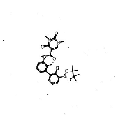 Cn1cc(C(=O)Nc2cccc(-c3cccc(B4OC(C)(C)C(C)(C)O4)c3Cl)c2F)c(=O)n(C)c1=O